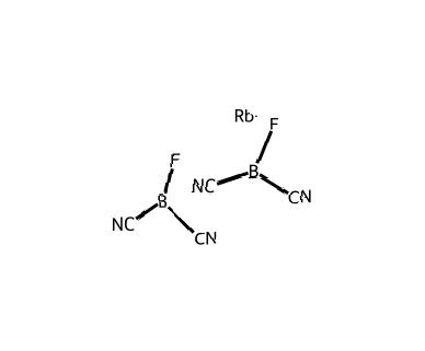 N#CB(F)C#N.N#CB(F)C#N.[Rb]